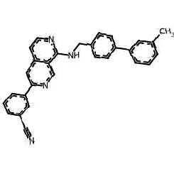 Cc1cccc(-c2ccc(CNc3nccc4cc(-c5cccc(C#N)c5)ncc34)cc2)c1